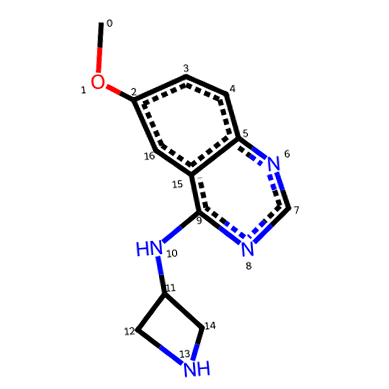 COc1ccc2ncnc(NC3CNC3)c2c1